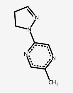 Cc1cnc(N2CCC=N2)cn1